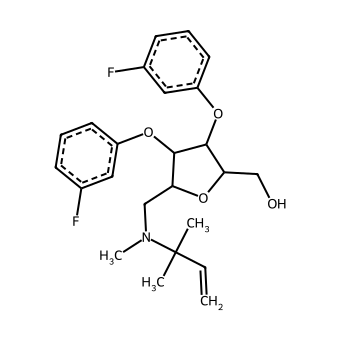 C=CC(C)(C)N(C)CC1OC(CO)C(Oc2cccc(F)c2)C1Oc1cccc(F)c1